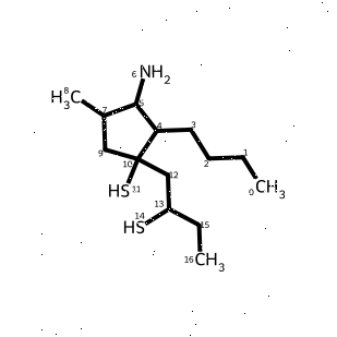 CCCCC1C(N)C(C)CC1(S)CC(S)CC